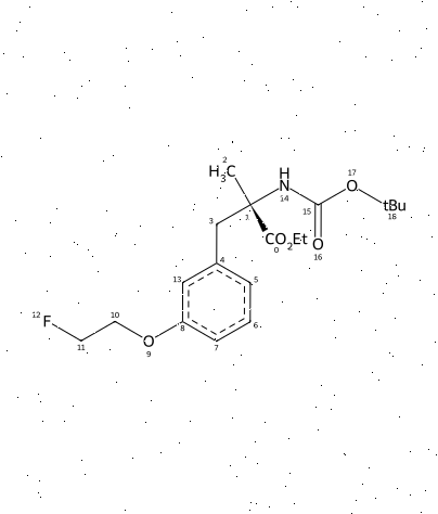 CCOC(=O)[C@](C)(Cc1cccc(OCCF)c1)NC(=O)OC(C)(C)C